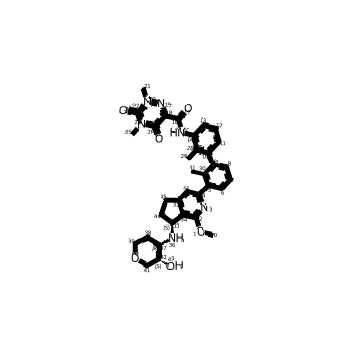 COc1nc(-c2cccc(-c3cccc(NC(=O)c4nn(C)c(=O)n(C)c4=O)c3C)c2C)cc2c1[C@@H](N[C@@H]1CCOC[C@H]1O)CC2